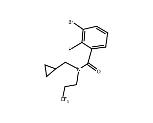 O=C(c1cccc(Br)c1F)N(CCC(F)(F)F)CC1CC1